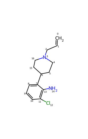 C=CCN1CCC(c2cccc(Cl)c2N)CC1